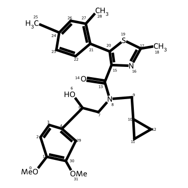 COc1ccc(C(O)CN(CC2CC2)C(=O)c2nc(C)sc2-c2ccc(C)cc2C)cc1OC